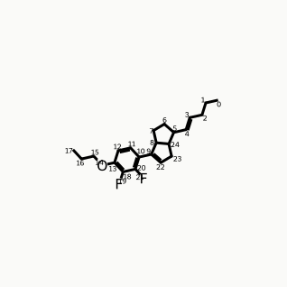 CCC/C=C/C1CCC2C(c3ccc(OCCC)c(F)c3F)=CCC12